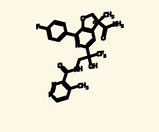 Cc1ccnnc1C(=O)NCC(O)(c1cc2c(c(-c3ccc(F)cc3)n1)OC[C@]2(C)C(N)=O)C(F)(F)F